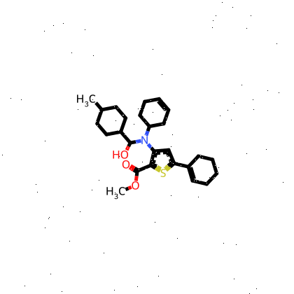 COC(=O)c1sc(C2=CCCCC2)cc1N(C1CC=CCC1)C(O)C1CCC(C)CC1